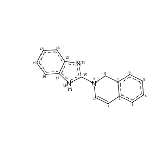 [C]1=Cc2ccccc2CN1c1nc2ccccc2[nH]1